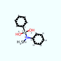 O[Si](O)(c1ccccc1)N([SiH3])c1ccccc1